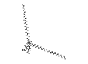 CCCCCCCCCCCCCCCCCCCCCCCCOP(=O)(Cc1c(C)cc(C(C)(C)C)c(O)c1C)OCCCCCCCCCCCCCCCCCCCCCCCC